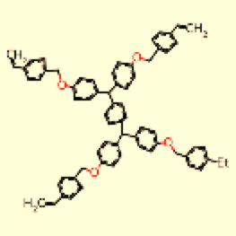 C=Cc1ccc(COc2ccc(C(c3ccc(OCc4ccc(C=C)cc4)cc3)c3ccc(C(c4ccc(OCc5ccc(C=C)cc5)cc4)c4ccc(OCc5ccc(CC)cc5)cc4)cc3)cc2)cc1